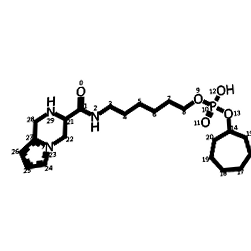 O=C(NCCCCCCOP(=O)(O)OC1CCCCCC1)C1Cn2cccc2CN1